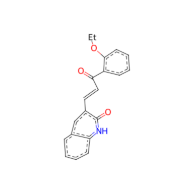 CCOc1ccccc1C(=O)C=Cc1cc2ccccc2[nH]c1=O